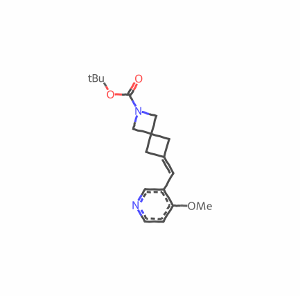 COc1ccncc1C=C1CC2(C1)CN(C(=O)OC(C)(C)C)C2